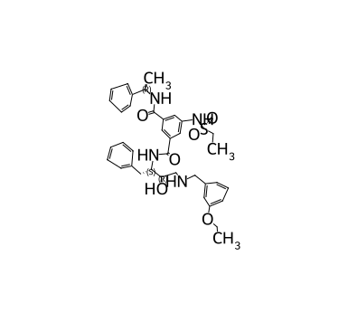 CCOc1cccc(CNC[C@@H](O)[C@H](Cc2ccccc2)NC(=O)c2cc(NS(=O)(=O)CC)cc(C(=O)N[C@H](C)c3ccccc3)c2)c1